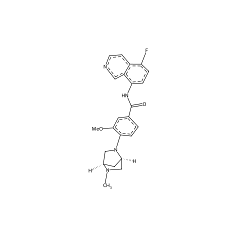 COc1cc(C(=O)Nc2ccc(F)c3ccncc23)ccc1N1C[C@H]2C[C@@H]1CN2C